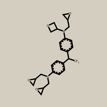 FC(F)(F)C(c1ccc(N(CC2CO2)CC2CO2)cc1)c1ccc(N(CC2CO2)C2COC2)cc1